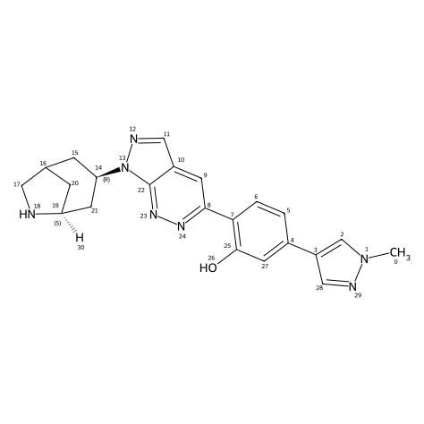 Cn1cc(-c2ccc(-c3cc4cnn([C@@H]5CC6CN[C@@H](C6)C5)c4nn3)c(O)c2)cn1